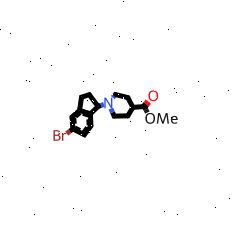 COC(=O)C1CCN(C2CCc3cc(Br)ccc32)CC1